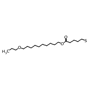 CCCOCCCCCCCCCCOC(=O)CCCCS